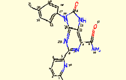 COc1cccc(-c2nc(C(N)=O)c3[nH]c(=O)n(-c4ccc(C)cc4)c3n2)n1